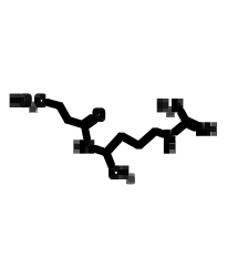 CC(CCCNC(=N)N)NC(=O)CCC(=O)O